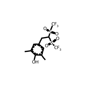 Cc1cc(CC(S(=O)(=O)C(F)(F)F)S(=O)(=O)C(F)(F)F)cc(C)c1O